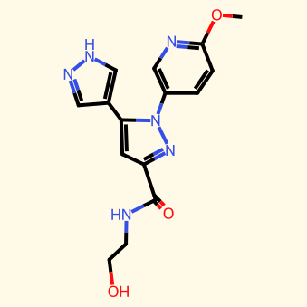 COc1ccc(-n2nc(C(=O)NCCO)cc2-c2cn[nH]c2)cn1